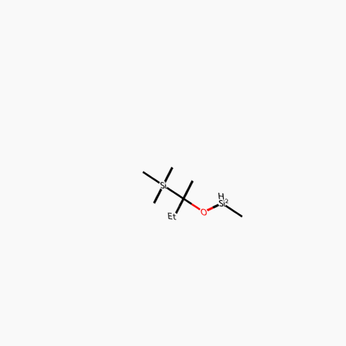 CCC(C)(O[SiH2]C)[Si](C)(C)C